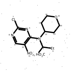 CCC(C(=O)O)N(c1nc(Cl)ncc1[N+](=O)[O-])C1CCOCC1